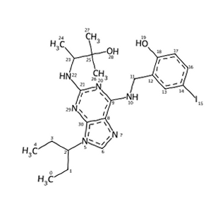 CCC(CC)n1cnc2c(NCc3cc(I)ccc3O)nc(NC(C)C(C)(C)O)nc21